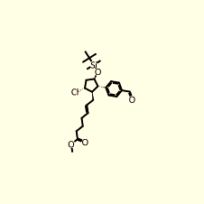 COC(=O)CCCC=CC[C@@H]1[C@@H](c2ccc(C=O)cc2)[C@H](O[Si](C)(C)C(C)(C)C)C[C@H]1Cl